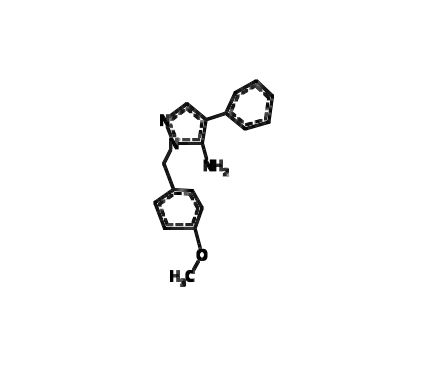 COc1ccc(Cn2ncc(-c3ccccc3)c2N)cc1